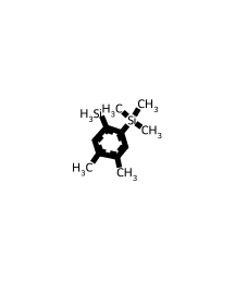 Cc1cc([SiH3])c([Si](C)(C)C)cc1C